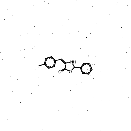 Cc1ccc(/C=C2/NC(c3ccccc3)OC2=O)cc1